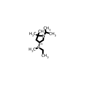 CCN(C)[C@@H]1CN(C(C)C)C(C)(C)C1